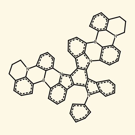 c1ccc(-n2c3ccccc3c3c2c2c4cccc5c4n(c2c2c4cccc6c4n(c32)-c2cccc3c2B6c2cccc4c2N3CCC4)-c2cccc3c2B5c2cccc4c2N3CCC4)cc1